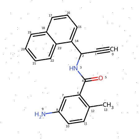 C#CC(NC(=O)c1cc(N)ccc1C)c1cccc2ccccc12